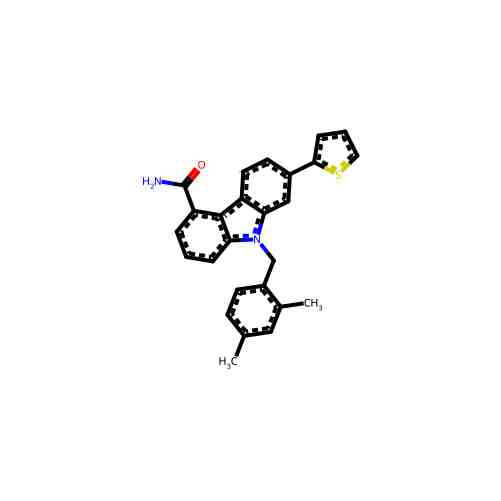 Cc1ccc(Cn2c3cc(-c4cccs4)c[c]c3c3c(C(N)=O)cccc32)c(C)c1